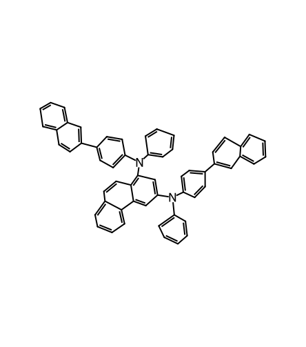 c1ccc(N(c2ccc(-c3ccc4ccccc4c3)cc2)c2cc(N(c3ccccc3)c3ccc(-c4ccc5ccccc5c4)cc3)c3ccc4ccccc4c3c2)cc1